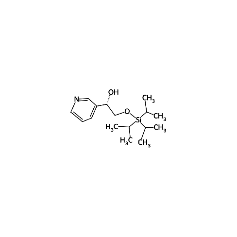 CC(C)[Si](OC[C@@H](O)c1cccnc1)(C(C)C)C(C)C